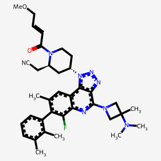 COC/C=C/C(=O)N1CC[C@H](n2nnc3c(N4CC(C)(N(C)C)C4)nc4c(F)c(-c5cccc(C)c5C)c(C)cc4c32)C[C@H]1CC#N